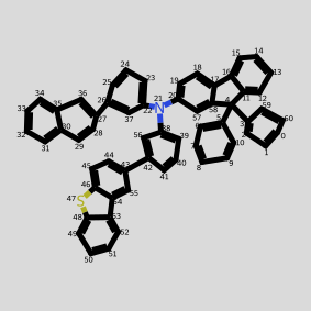 c1ccc(C2(c3ccccc3)c3ccccc3-c3ccc(N(c4cccc(-c5ccc6ccccc6c5)c4)c4cccc(-c5ccc6sc7ccccc7c6c5)c4)cc32)cc1